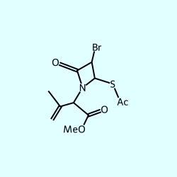 C=C(C)C(C(=O)OC)N1C(=O)C(Br)C1SC(C)=O